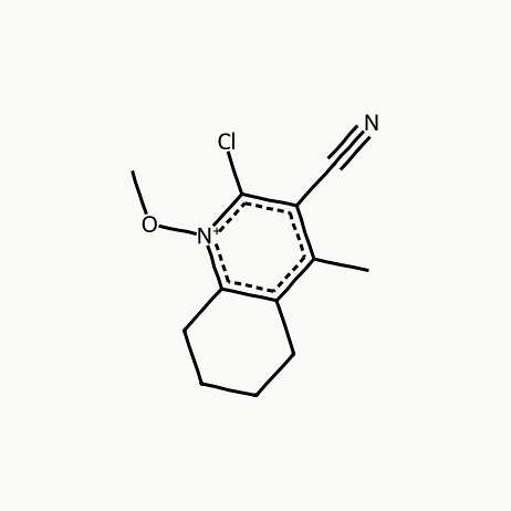 CO[n+]1c(Cl)c(C#N)c(C)c2c1CCCC2